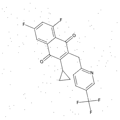 O=C1C(C2CC2)=C(Cc2ccc(C(F)(F)F)cn2)C(=O)c2c(F)cc(F)cc21